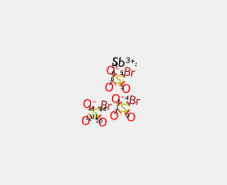 O=S(=O)([O-])Br.O=S(=O)([O-])Br.O=S(=O)([O-])Br.[Sb+3]